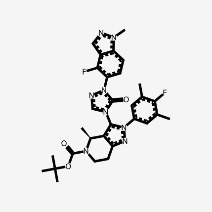 Cc1cc(-n2nc3c(c2-n2cnn(-c4ccc5c(cnn5C)c4F)c2=O)[C@H](C)N(C(=O)OC(C)(C)C)CC3)cc(C)c1F